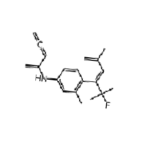 C=C=CC(=C)Nc1ccc(/C(=C\C(=C)C)C(C)(C)F)c(C)c1